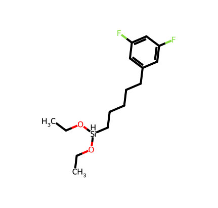 CCO[SiH](CCCCCc1cc(F)cc(F)c1)OCC